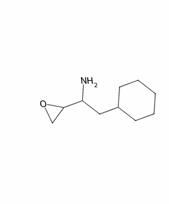 NC(CC1CCCCC1)C1CO1